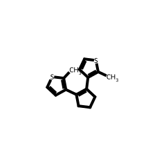 Cc1sccc1C1=C(c2ccsc2C)CCC1